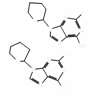 Clc1nc(Cl)c2ncn(C3CCCCO3)c2n1.Nc1nc(Cl)nc2c1ncn2C1CCCCO1